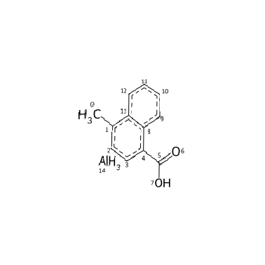 Cc1ccc(C(=O)O)c2ccccc12.[AlH3]